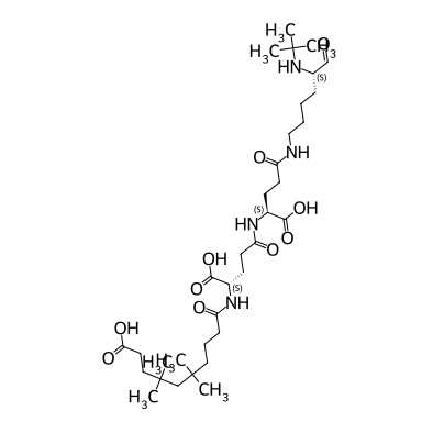 CC(C)(CCCC(=O)N[C@@H](CCC(=O)N[C@@H](CCC(=O)NCCCC[C@@H](C=O)NC(C)(C)C)C(=O)O)C(=O)O)CC(C)(C)CCC(=O)O